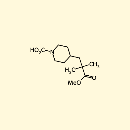 COC(=O)C(C)(C)CC1CCN(C(=O)O)CC1